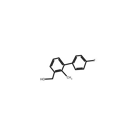 Cc1c(CO)cccc1-c1ccc(F)cc1